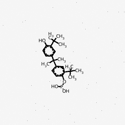 CC(C)(C)c1cc(C(C)(C)c2ccc(OP(O)O)c(C(C)(C)C)c2)ccc1O